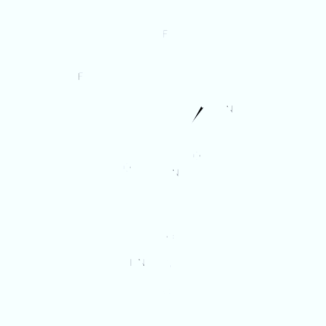 Cc1cnc([C@@H]2CC(O[C@H]3CC[C@@H](NS(C)(=O)=O)C3)=NO2)c(-c2c(F)cc(F)cc2F)c1